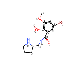 COc1cc(Br)cc(C(=O)NCC2CCCN2)c1OC